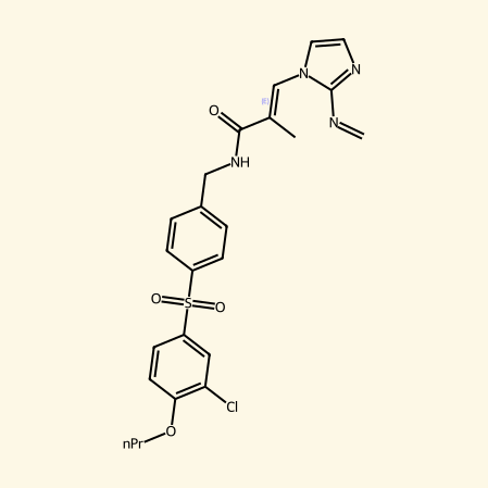 C=Nc1nccn1/C=C(\C)C(=O)NCc1ccc(S(=O)(=O)c2ccc(OCCC)c(Cl)c2)cc1